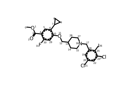 COC(=O)c1cc(C2CC2)c(OCC2CCN(Cc3cc(Cl)cc(Cl)c3I)CC2)cc1F